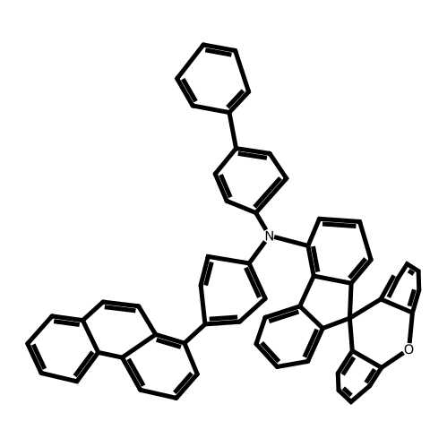 c1ccc(-c2ccc(N(c3ccc(-c4cccc5c4ccc4ccccc45)cc3)c3cccc4c3-c3ccccc3C43c4ccccc4Oc4ccccc43)cc2)cc1